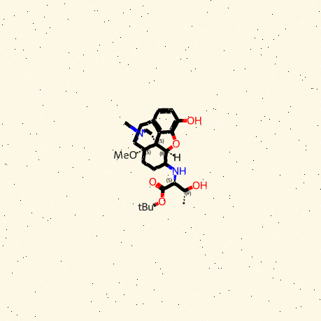 CO[C@@]12CCC(N[C@H](C(=O)OC(C)(C)C)[C@@H](C)O)[C@@H]3Oc4c(O)ccc5c4[C@@]31CCN(C)C2C5